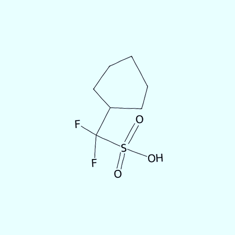 O=S(=O)(O)C(F)(F)C1CCCCC1